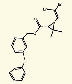 CC1(C)[C@H](C=C(Br)Br)[C@H]1C(=O)OCc1cccc(Oc2ccccc2)c1